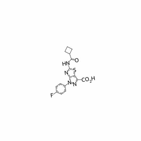 O=C(O)c1nn(-c2ccc(F)cc2)c2nc(NC(=O)C3CCC3)sc12